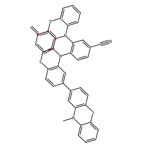 C=CC1=C(C=C)N(c2cc(C#N)ccc2N2c3ccccc3Sc3ccc(-c4ccc5c(c4)N(C)c4ccccc4S5)cc32)c2ccccc2S1